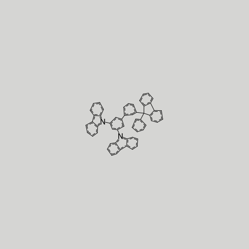 c1ccc(C2(c3cccc(-c4cc(-n5c6ccccc6c6ccccc65)cc(-n5c6ccccc6c6ccccc65)c4)c3)c3ccccc3-c3ccccc32)cc1